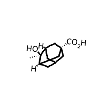 C[C@]1(O)[C@@H]2CC3C[C@@H]1C[C@](C(=O)O)(C3)C2